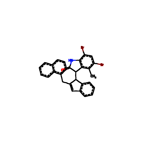 Cc1c(Br)cc(Br)c2c1C(C1C(Cc3cccc4ccccc34)=Cc3ccccc31)C(=O)N2